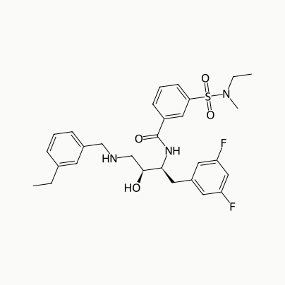 CCc1cccc(CNC[C@H](O)[C@H](Cc2cc(F)cc(F)c2)NC(=O)c2cccc(S(=O)(=O)N(C)CC)c2)c1